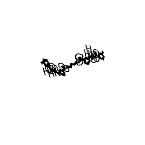 Cc1cccc(S(=O)(=O)NC(=O)Nc2cccc(C(=O)OCCCCCOC(=O)c3cccc(NC(=O)NS(=O)(=O)c4cccc(C)c4)c3)c2)c1